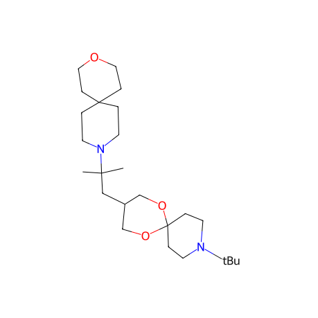 CC(C)(C)N1CCC2(CC1)OCC(CC(C)(C)N1CCC3(CCOCC3)CC1)CO2